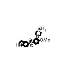 COc1ccc(S(=O)(=O)c2ccc3[nH]ccc3c2)cc1N1CCN(C)CC1